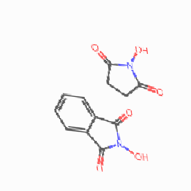 O=C1CCC(=O)N1O.O=C1c2ccccc2C(=O)N1O